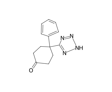 O=C1CCC(c2ccccc2)(c2nn[nH]n2)CC1